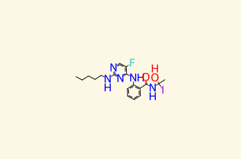 CCCCCNc1ncc(F)c(Nc2ccccc2C(=O)NC(C)(O)I)n1